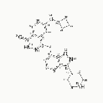 O=c1[nH]nc(Cc2cccc3c(N4CCNCC4)noc23)c2cc(OC3CCC3)ccc12